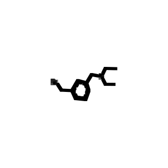 CCN(CC)Cc1cccc(CBr)c1